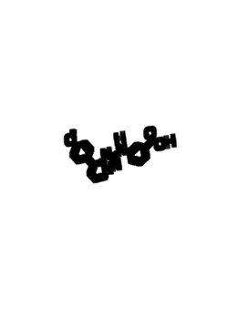 COc1ccc(-c2cccn3nc(Nc4cccc(C(=O)O)c4)nc23)cc1